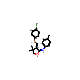 Cc1ccc(N=C2OCC(C)(C)/C2=C\Sc2ccc(F)cc2)cc1